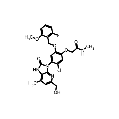 CNC(=O)COc1cc(Cl)c(-n2c(=O)[nH]c3c(C)cc(CO)nc32)cc1OCc1c(F)cccc1OC